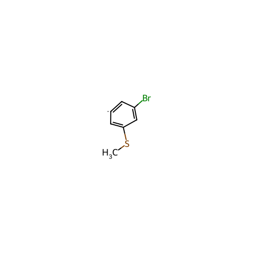 CSc1c[c]cc(Br)c1